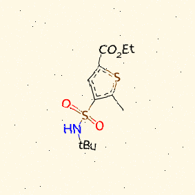 CCOC(=O)c1cc(S(=O)(=O)NC(C)(C)C)c(C)s1